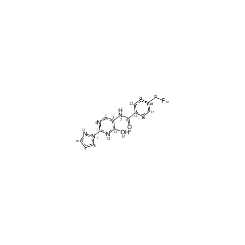 O=C(Nc1cnc(-n2cccn2)nc1O)c1ccc(CF)cc1